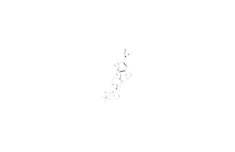 CC(C)(C)OC(=O)N1CCN2c3ncc(C#N)cc3OCC2C1